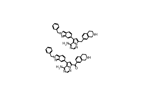 Nc1ncnn2c(C(=O)c3ccc4c(c3)CNCC4)cc(-c3ccc4cn(Cc5ccccc5)nc4c3)c12.Nc1ncnn2c(Cc3ccc4c(c3)CNCC4)cc(-c3ccc4cn(Cc5ccccc5)nc4c3)c12